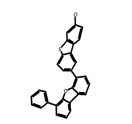 Clc1ccc2c(c1)sc1ccc(-c3cccc4c3oc3c(-c5ccccc5)cccc34)cc12